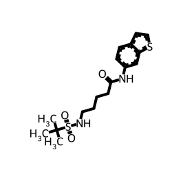 CC(C)(C)S(=O)(=O)NCCCCC(=O)Nc1ccc2ccsc2c1